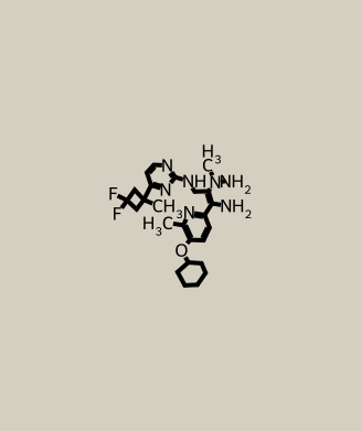 Cc1nc(/C(N)=C(\CNc2nccc(C3(C)CC(F)(F)C3)n2)N(C)N)ccc1OC1CCCCC1